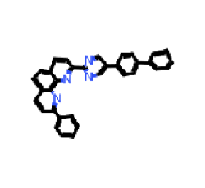 c1ccc(-c2ccc(-c3cnc(-c4ccc5ccc6ccc(-c7ccccc7)nc6c5n4)nc3)cc2)cc1